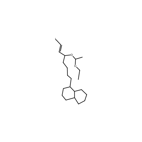 CCOC(C)OC(/C=C/I)CCCCC1CCCC2CCCCC12